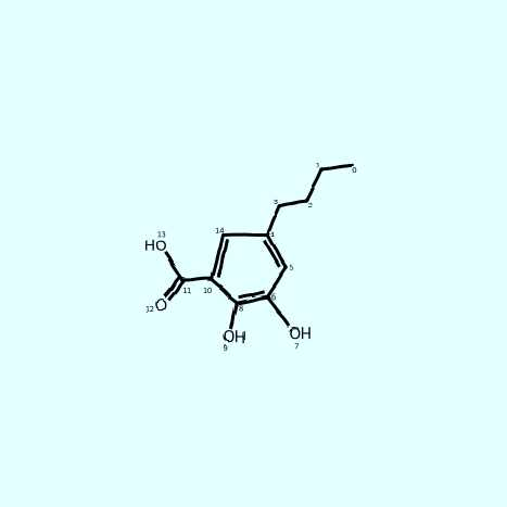 CCCCc1cc(O)c(O)c(C(=O)O)c1